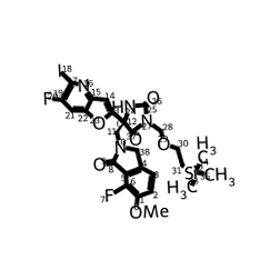 COc1ccc2c(c1F)C(=O)N(C[C@@]1(c3cc4nc(I)c(F)cc4o3)NC(=O)N(COCC[Si](C)(C)C)C1=O)C2